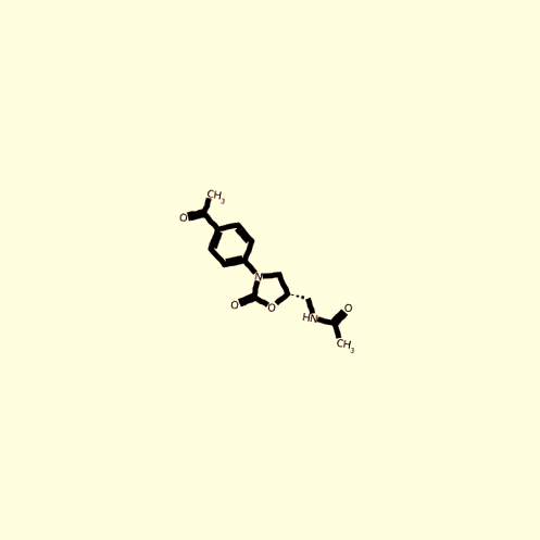 CC(=O)NC[C@H]1CN(c2ccc(C(C)=O)cc2)C(=O)O1